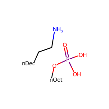 CCCCCCCCCCCCN.CCCCCCCCOP(=O)(O)O